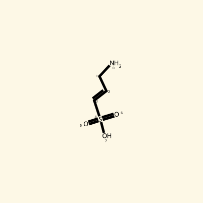 NCC=CS(=O)(=O)O